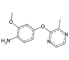 COc1cc(Oc2nccnc2C)ccc1N